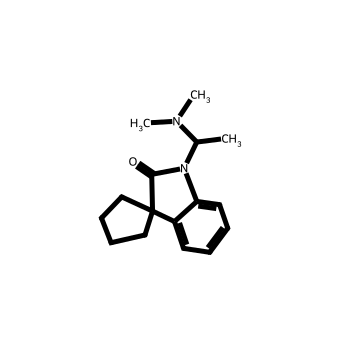 CC(N(C)C)N1C(=O)C2(CCCC2)c2ccccc21